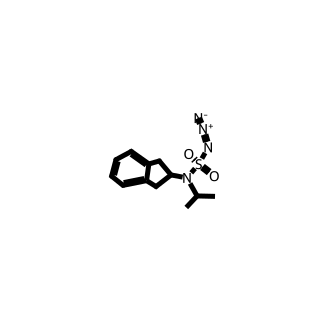 CC(C)N(C1Cc2ccccc2C1)S(=O)(=O)N=[N+]=[N-]